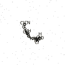 N#Cc1ccc(OC2CCC(NC(=O)c3ccc(N4CCC(CN5CCC(n6ccc7c(N8CCC(=O)NC8=O)nc(Cl)nc76)CC5)CC4)nn3)CC2)cc1Cl